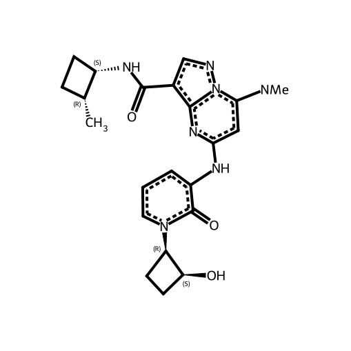 CNc1cc(Nc2cccn([C@@H]3CC[C@@H]3O)c2=O)nc2c(C(=O)N[C@H]3CC[C@H]3C)cnn12